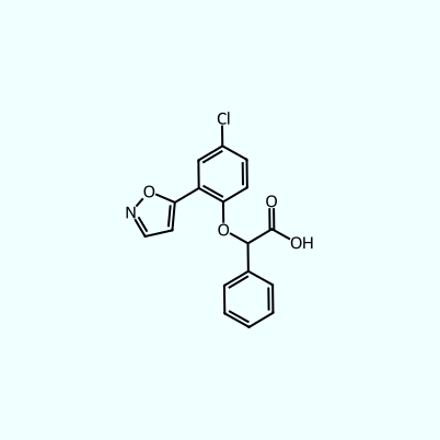 O=C(O)C(Oc1ccc(Cl)cc1-c1ccno1)c1ccccc1